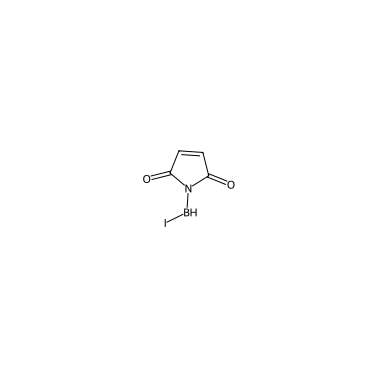 O=C1C=CC(=O)N1BI